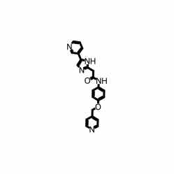 O=C(Cc1ncc(-c2cccnc2)[nH]1)Nc1ccc(OCc2ccncc2)cc1